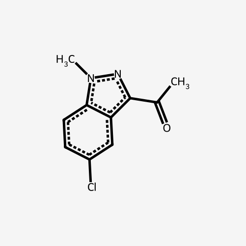 CC(=O)c1nn(C)c2ccc(Cl)cc12